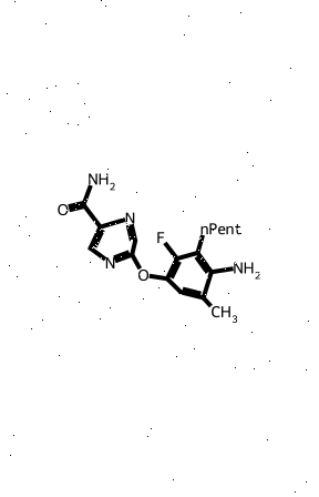 CCCCCc1c(N)c(C)cc(Oc2cnc(C(N)=O)cn2)c1F